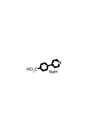 O=C(O)c1ccc(-c2ccncc2)cc1.[NaH]